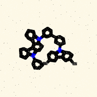 N#Cc1ccc2c(c1)c1cc(C#N)ccc1n2-c1cccc(-c2cccc(-n3c4ccccc4c4c5c6ccccc6n(-c6ccccc6)c5ccc43)c2)c1